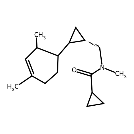 CC1=CC(C)C(C2C[C@@H]2CN(C)C(=O)C2CC2)CC1